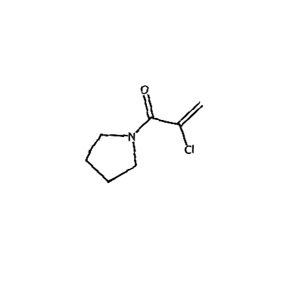 C=C(Cl)C(=O)N1CCCC1